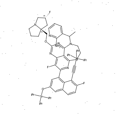 CC(c1cccnc1N)N1CCOc2nc(-c3cc(O[Si](C(C)C)(C(C)C)C(C)C)cc4ccc(F)c(C#C[Si](C(C)C)(C(C)C)C(C)C)c34)c(F)c3nc(OC[C@@]45CCCN4C[C@H](F)C5)nc1c23